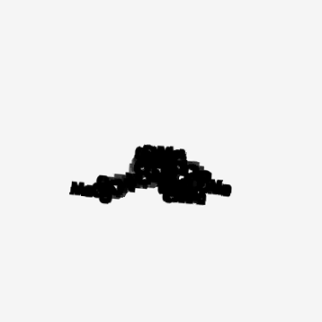 COS(=O)(=O)C1=Cc2c(S(=O)(=O)OC)ccc(NC(C)=O)c2C(=O)/C1=N\Nc1ccc(/N=N/c2ccc(S(=O)(=O)OC)cc2)c2ccc(S(=O)(=O)OC)cc12